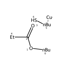 CCCCOC(=O)CC.CCCCS.[Cu]